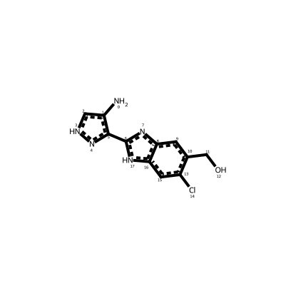 Nc1c[nH]nc1-c1nc2cc(CO)c(Cl)cc2[nH]1